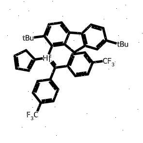 CC(C)(C)c1ccc2c(c1)Cc1c-2ccc(C(C)(C)C)[c]1[Hf]([C]1=CC=CC1)=[C](c1ccc(C(F)(F)F)cc1)c1ccc(C(F)(F)F)cc1